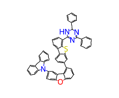 c1ccc(C2=NC(c3ccccc3)NC(c3cccc4c3sc3cc(-c5cccc6oc7ccc(-n8c9ccccc9c9ccccc98)cc7c56)ccc34)=N2)cc1